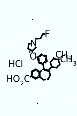 CC1(C)CCC(C2=C(c3cccc(O[C@@H]4CCN(CCCF)C4)c3)c3ccc(C(=O)O)cc3CCC2)CC1.Cl